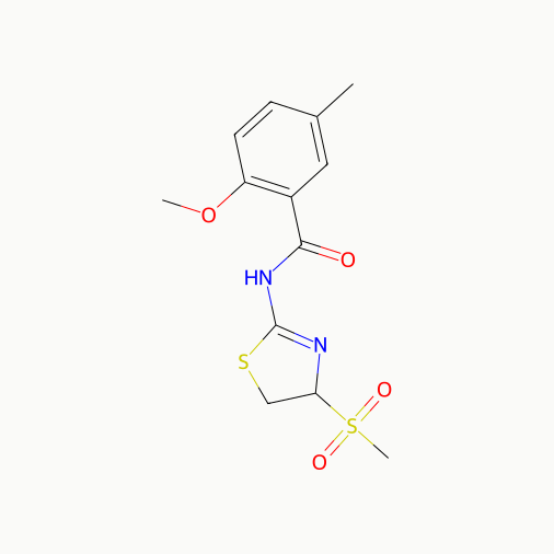 COc1ccc(C)cc1C(=O)NC1=NC(S(C)(=O)=O)CS1